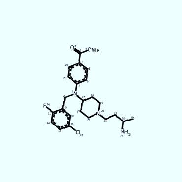 COC(=O)c1ccc(N(Cc2cc(Cl)ccc2F)C2CCN(CCC(C)N)CC2)cc1